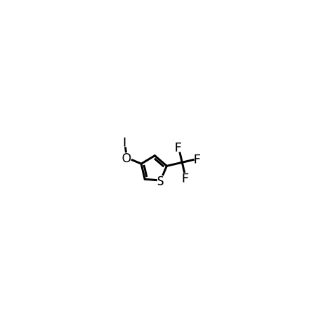 FC(F)(F)c1cc(OI)cs1